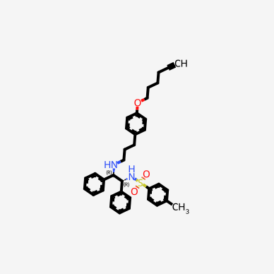 C#CCCCCOc1ccc(CCCN[C@H](c2ccccc2)[C@H](NS(=O)(=O)c2ccc(C)cc2)c2ccccc2)cc1